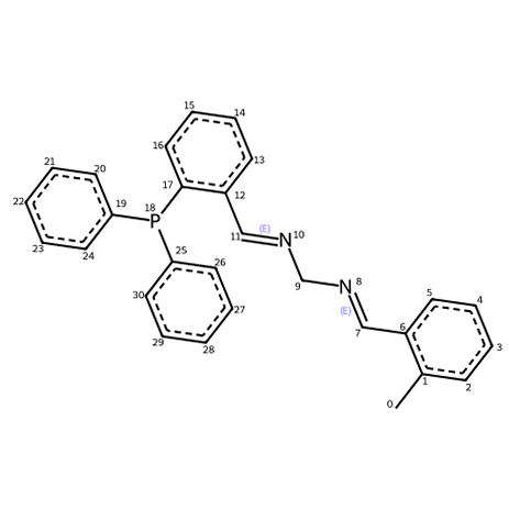 Cc1ccccc1/C=N/C/N=C/c1ccccc1P(c1ccccc1)c1ccccc1